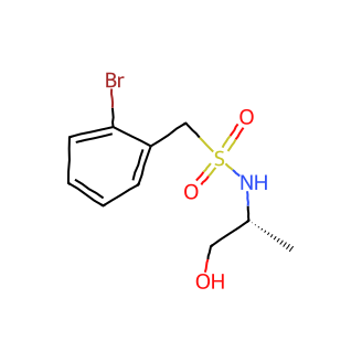 C[C@H](CO)NS(=O)(=O)Cc1ccccc1Br